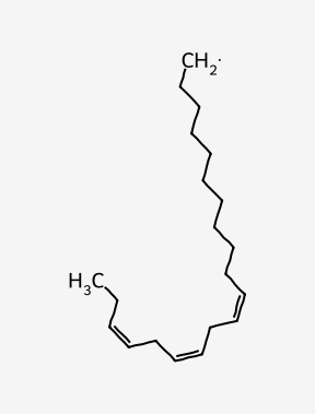 [CH2]CCCCCCCCC/C=C\C/C=C\C/C=C\CC